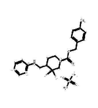 CS(=O)(=O)O.Cc1ccc(COC(=O)N2CCC(CNc3ccncn3)C(F)(F)C2)cc1